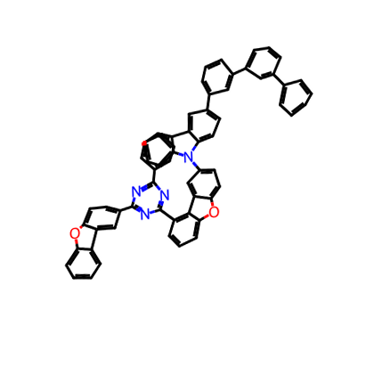 c1ccc(-c2cccc(-c3cccc(-c4ccc5c(c4)c4ccccc4n5-c4ccc5oc6cccc(-c7nc(-c8ccccc8)nc(-c8ccc9oc%10ccccc%10c9c8)n7)c6c5c4)c3)c2)cc1